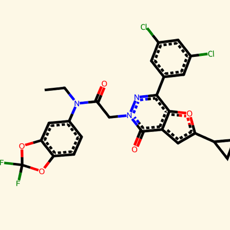 CCN(C(=O)Cn1nc(-c2cc(Cl)cc(Cl)c2)c2oc(C3CC3)cc2c1=O)c1ccc2c(c1)OC(F)(F)O2